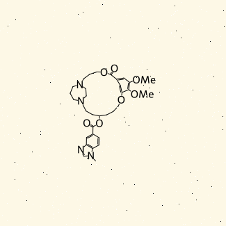 COc1cc2cc(c1OC)OCCCC(OC(=O)c1ccc3c(c1)ncn3C)CCN1CCCN(CCCOC2=O)CC1